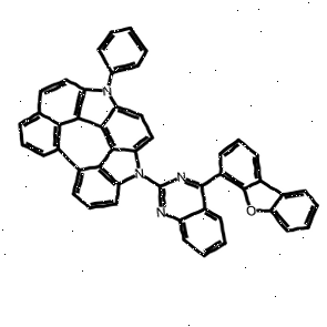 c1ccc(-n2c3ccc4cccc5c4c3c3c4c6c-5cccc6n(-c5nc(-c6cccc7c6oc6ccccc67)c6ccccc6n5)c4ccc32)cc1